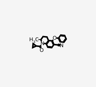 C[C@H]1CCc2c(ccc(C#N)c2Oc2ccccc2)N1C(=O)C1CC1